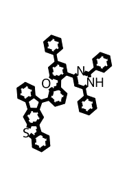 C1=C(c2cc(-c3ccccc3)cc3oc4c(C5c6ccccc6-c6cc7sc8ccccc8c7cc65)cccc4c23)N=C(c2ccccc2)NC1c1ccccc1